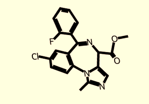 COC(=O)C1N=C(c2ccccc2F)c2cc(Cl)ccc2-n2c1cnc2C